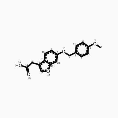 COc1ccc(COc2ccc3c(CC(=O)O)coc3c2)cc1